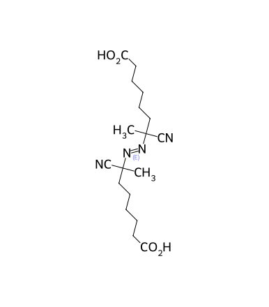 CC(C#N)(CCCCCC(=O)O)/N=N/C(C)(C#N)CCCCCC(=O)O